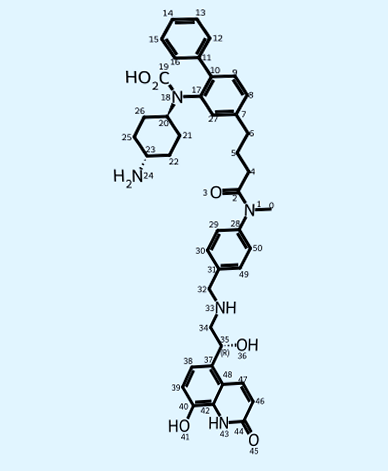 CN(C(=O)CCCc1ccc(-c2ccccc2)c(N(C(=O)O)[C@H]2CC[C@H](N)CC2)c1)c1ccc(CNC[C@H](O)c2ccc(O)c3[nH]c(=O)ccc23)cc1